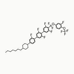 CCCCCCCC1CCC(c2ccc(-c3cc(F)c(-c4cc(F)c(C(F)(F)Oc5ccc(OC(F)(F)F)c(F)c5)c(F)c4)c(F)c3)c(F)c2)CC1